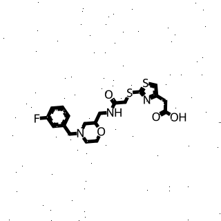 O=C(O)Cc1csc(SCC(=O)NCC2CN(Cc3cccc(F)c3)CCO2)n1